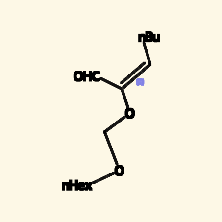 CCCC/C=C(\C=O)OCOCCCCCC